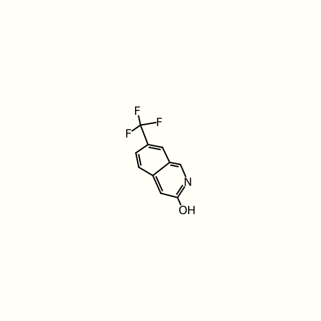 Oc1cc2ccc(C(F)(F)F)cc2cn1